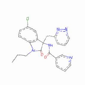 CCCN1C(=O)C(Cc2cccnn2)(NC(=O)c2cccnc2)c2cc(Cl)ccc21